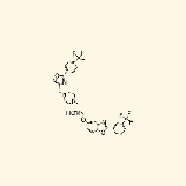 O[C@H](COc1ccc2oc(-c3cccc(C(F)(F)F)c3)nc2c1)CN1CCN(Cc2noc(-c3ccc(C(F)(F)F)cc3)n2)CC1